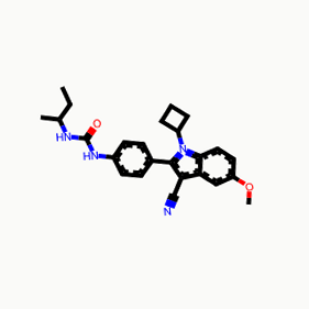 CCC(C)NC(=O)Nc1ccc(-c2c(C#N)c3cc(OC)ccc3n2C2CCC2)cc1